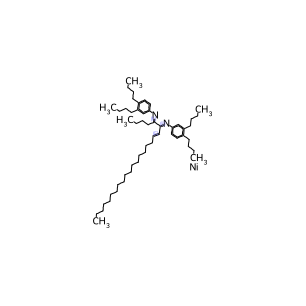 CCCCCCCCCCCCCCCCC/C=C/C(=N\c1ccc(CCCC)c(CCCC)c1)C(/CCCC)=N/c1ccc(CCCC)c(CCCC)c1.[Ni]